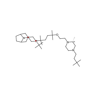 C[C@@H]1CN(CCC(C)(C)C)CCN1CCOC(C)(C)CCC(C)(C)CCN1CC2CCC(C1)N2CCOC(C)(C)C